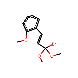 COc1ccccc1C=CC(Br)(OC)OC